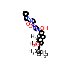 C[C@]12C[C@H](N3CCN(C(=O)[C@@H]4CCCN4C(=O)c4ccc5ccccc5n4)CC3)[C@@H](O)CC1CCC1C2CC[C@@]2(C)C1CC[C@@]2(O)C#C[Si](C)(C)C